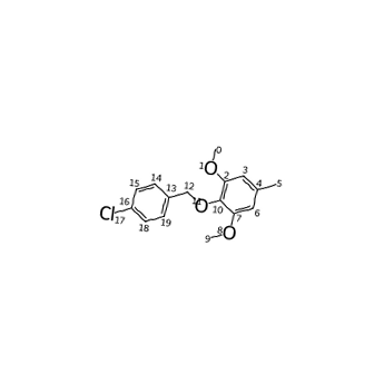 COc1cc(C)cc(OC)c1OCc1ccc(Cl)cc1